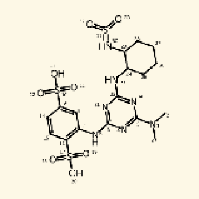 CN(C)c1nc(Nc2cc(S(=O)(=O)O)ccc2S(=O)(=O)O)nc(NC2CCCCC2N[SH](=O)=O)n1